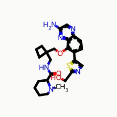 CN1CCCCC1C(=O)NCC1(COc2c(-c3cnc(CO)s3)ccc3ncc(N)nc23)CCC1